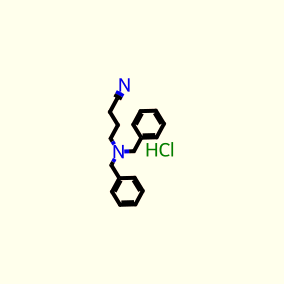 Cl.N#CCCCN(Cc1ccccc1)Cc1ccccc1